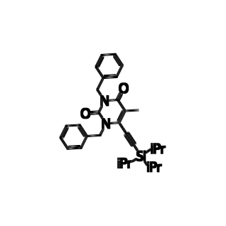 Cc1c(C#C[Si](C(C)C)(C(C)C)C(C)C)n(Cc2ccccc2)c(=O)n(Cc2ccccc2)c1=O